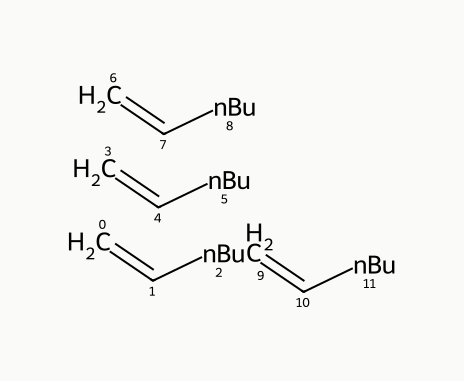 C=CCCCC.C=CCCCC.C=CCCCC.C=CCCCC